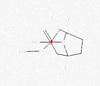 CC(C)(C)OC(=O)N1[C@H]2CC[C@@H]1[C@@H](F)C(O)C2